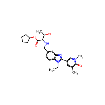 CCn1c(-c2cc(C)c(=O)n(C)c2)nc2cc(CNC(C(=O)OC3CCCC3)C(C)O)ccc21